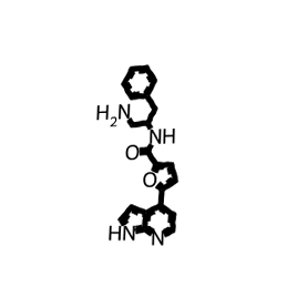 NCC(Cc1ccccc1)NC(=O)c1ccc(-c2ccnc3[nH]ccc23)o1